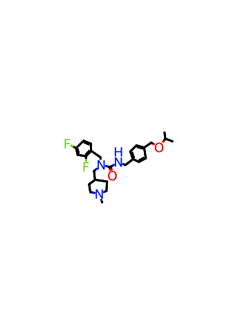 CC(C)OCc1ccc(CNC(=O)N(Cc2ccc(F)cc2F)CC2CCN(C)CC2)cc1